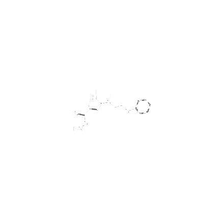 N=NC(=N)C1=CC(NCCNc2ccccc2)NO1